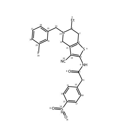 CCC1Cc2sc(NC(=O)Cc3ccc([SH](=O)=O)cc3)c(C#N)c2CN1Cc1cccc(F)c1